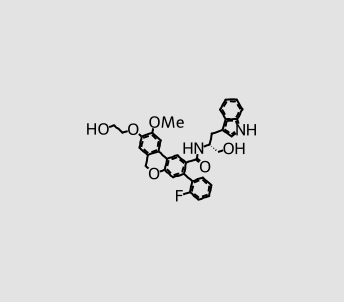 COc1cc2c(cc1OCCO)COc1cc(-c3ccccc3F)c(C(=O)N[C@@H](CO)Cc3c[nH]c4ccccc34)cc1-2